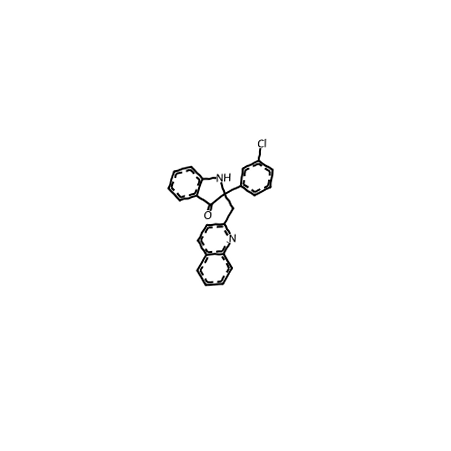 O=C1c2ccccc2NC1(Cc1ccc2ccccc2n1)c1cccc(Cl)c1